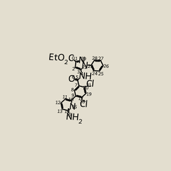 CCOC(=O)c1cc(NC(=O)c2cc(-c3cccc(N)n3)c(Cl)cc2Cl)n(-c2ccccc2)n1